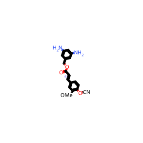 COc1cc(/C=C/C(=O)OCc2cc(N)cc(N)c2)ccc1OC#N